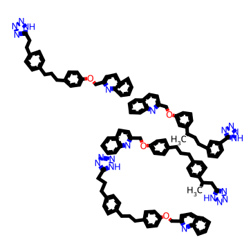 CC(CCc1cccc(-c2nnn[nH]2)c1)c1cccc(OCc2ccc3ccccc3n2)c1.CC(Cc1nnn[nH]1)c1ccc(CCCc2ccc(OCc3ccc4ccccc4n3)cc2)cc1.c1ccc2nc(COc3ccc(CCCc4ccc(CCCc5nnn[nH]5)cc4)cc3)ccc2c1.c1ccc2nc(COc3ccc(CCCc4ccc(CCc5nnn[nH]5)cc4)cc3)ccc2c1